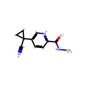 CNC(=O)c1ccc(C2(C#N)CC2)cn1